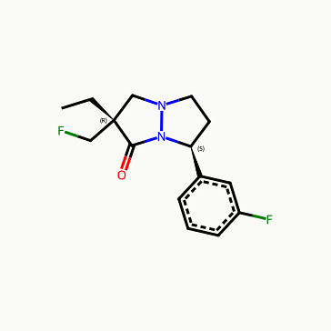 CC[C@@]1(CF)CN2CC[C@@H](c3cccc(F)c3)N2C1=O